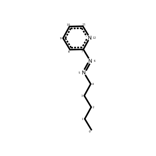 CCCCC/N=N/c1ccccn1